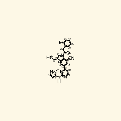 Cn1nccc1Nc1nccc(-c2cc(C#N)c3c(c2)C(CO)CN3C(=O)Cc2ccccc2F)n1